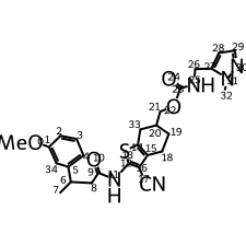 COc1cccc(C(C)CC(=O)Nc2sc3c(c2C#N)CCC(COC(=O)NCc2ccnn2C)C3)c1